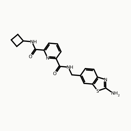 Nc1nc2ccc(CNC(=O)c3cccc(C(=O)NC4CCC4)n3)cc2s1